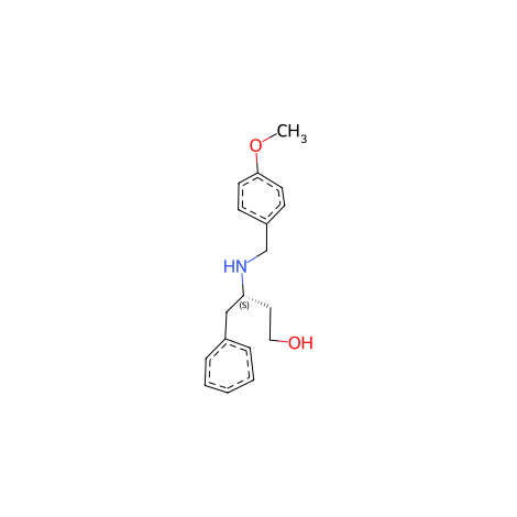 COc1ccc(CN[C@H](CCO)Cc2ccccc2)cc1